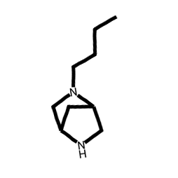 CCCCN1CC2CC1CN2